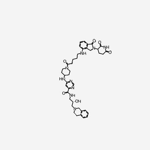 O=C1CCC(N2Cc3c(NCCCCC(=O)N4CCC(Nc5cc(C(=O)NC[C@H](O)CN6CCc7ccccc7C6)ncn5)CC4)cccc3C2=O)C(=O)N1